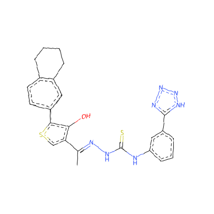 CC(=NNC(=S)Nc1cccc(-c2nnn[nH]2)c1)c1csc(-c2ccc3c(c2)CCCC3)c1O